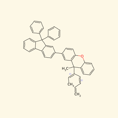 C=C/C=C\C(=C/C)C1(C)c2ccccc2Oc2ccc(-c3ccc4c(c3)C(c3ccccc3)(c3ccccc3)c3ccccc3-4)cc21